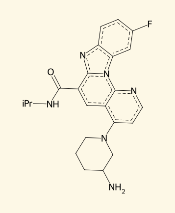 CC(C)NC(=O)c1cc2c(N3CCCC(N)C3)ccnc2n2c1nc1ccc(F)cc12